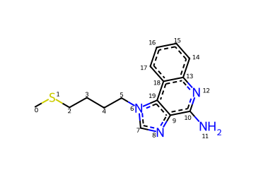 CSCCCCn1cnc2c(N)nc3ccccc3c21